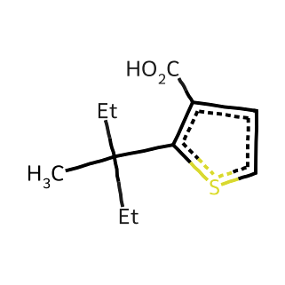 CCC(C)(CC)c1sccc1C(=O)O